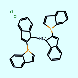 C1=C(p2ccc3ccccc32)[CH]([Hf+2][CH]2C(p3ccc4ccccc43)=Cc3ccccc32)c2ccccc21.[Cl-].[Cl-]